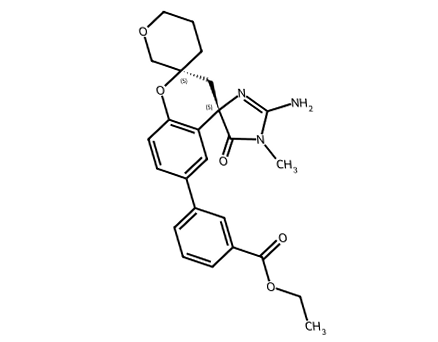 CCOC(=O)c1cccc(-c2ccc3c(c2)[C@]2(C[C@]4(CCCOC4)O3)N=C(N)N(C)C2=O)c1